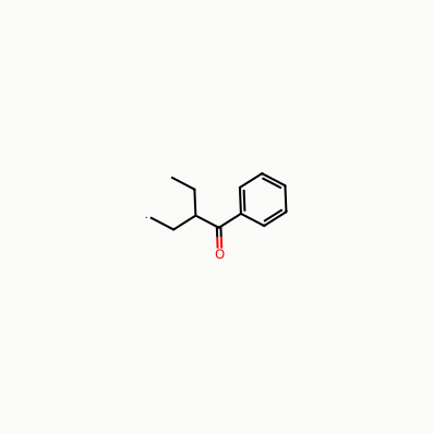 [CH2]CC(CC)C(=O)c1ccccc1